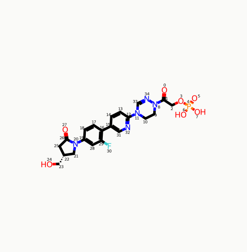 O=C(COP(=O)(O)O)N1CCN(c2ccc(-c3ccc(N4C[C@H](CO)CC4=O)cc3F)cn2)C=N1